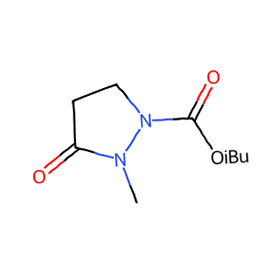 CC(C)COC(=O)N1CCC(=O)N1C